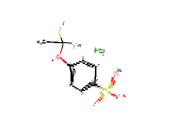 CC(C)(F)Oc1ccc(S(=O)(=O)O)cc1.Cl